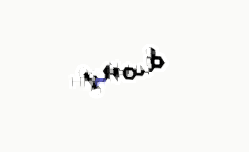 COc1cccc(CNCC2CCN(c3nccc(/C=C4\SC(=O)NC4=O)n3)CC2)n1